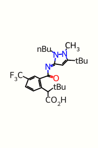 CCCCn1/c(=N/C(=O)c2cc(C(F)(F)F)ccc2C(C(=O)O)C(C)(C)C)cc(C(C)(C)C)n1C